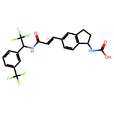 O=C(O)NC1CCc2cc(/C=C/C(=O)NC(c3cccc(C(F)(F)F)c3)C(F)(F)F)ccc21